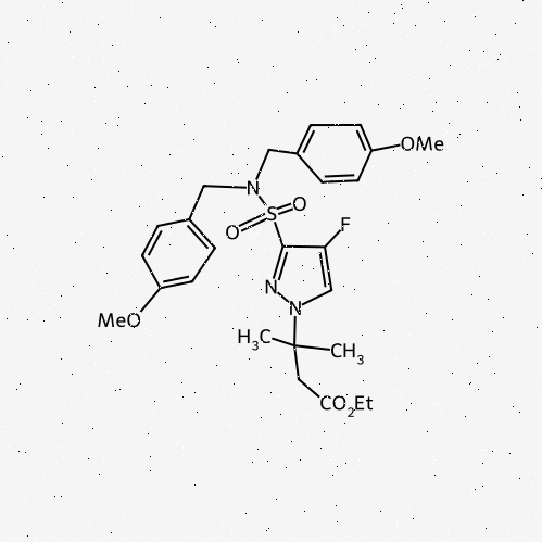 CCOC(=O)CC(C)(C)n1cc(F)c(S(=O)(=O)N(Cc2ccc(OC)cc2)Cc2ccc(OC)cc2)n1